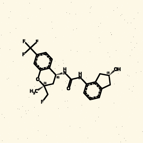 C[C@@]1(CF)C[C@@H](NC(=O)Nc2cccc3c2C[C@H](O)C3)c2ccc(C(F)(F)F)cc2O1